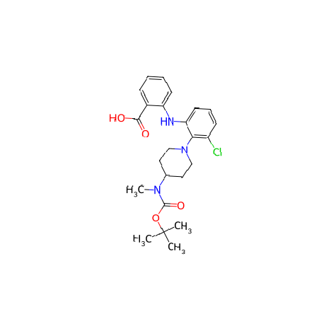 CN(C(=O)OC(C)(C)C)C1CCN(c2c(Cl)cccc2Nc2ccccc2C(=O)O)CC1